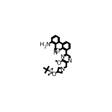 COc1nc(-c2cccc(-c3cccc(N)c3C#N)c2Cl)cnc1CN1CC(O[Si](C)(C)C(C)(C)C)C1